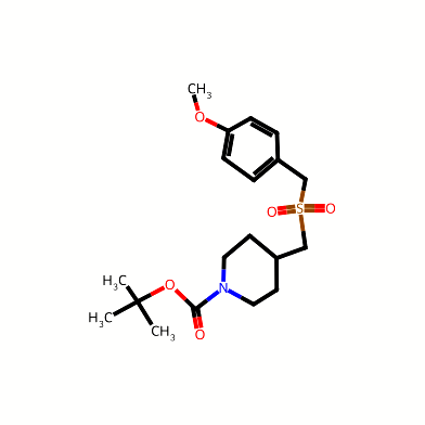 COc1ccc(CS(=O)(=O)CC2CCN(C(=O)OC(C)(C)C)CC2)cc1